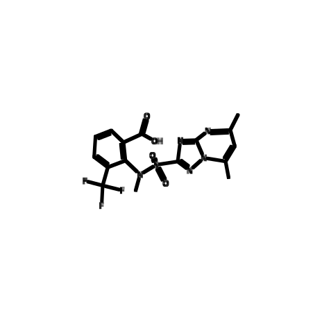 Cc1cc(C)n2nc(S(=O)(=O)N(C)c3c(C(=O)O)cccc3C(F)(F)F)nc2n1